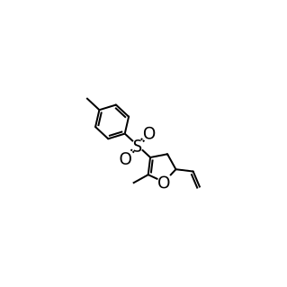 C=CC1CC(S(=O)(=O)c2ccc(C)cc2)=C(C)O1